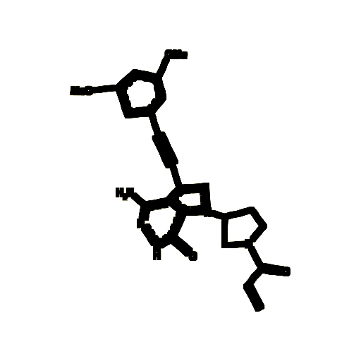 C=CC(=O)N1CCC(n2cc(C#Cc3cc(OC)cc(OC)c3)c3c(N)n[nH]c(=O)c32)C1